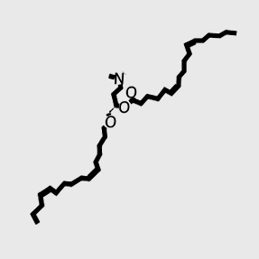 CCC/C=C\CCCC/C=C\CCCCCOC[C@H](CCN(C)C)OC(=O)CCCC/C=C\CCCC/C=C\CCCCC